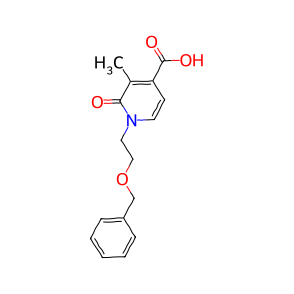 Cc1c(C(=O)O)ccn(CCOCc2ccccc2)c1=O